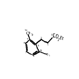 CCOC(=O)CCc1c(F)cccc1C(F)(F)F